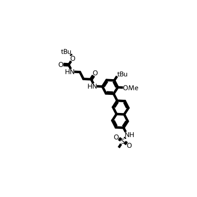 COc1c(C2=CC3C=CC(NS(C)(=O)=O)=CC3C=C2)cc(NC(=O)CCNC(=O)OC(C)(C)C)cc1C(C)(C)C